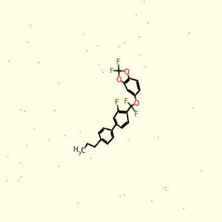 CCCc1ccc(-c2ccc(C(F)(F)Oc3ccc4c(c3)OC(F)(F)O4)c(F)c2)cc1